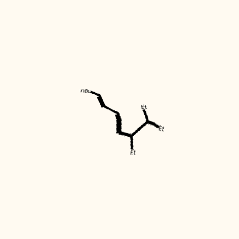 CCCCC=CC=CC(CC)C(CC)CC